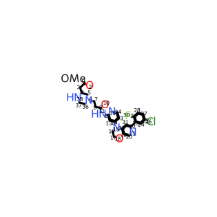 COC(=O)CC1CN(CCC(=O)Nc2cc(N3CCOc4cnc(-c5cc(Cl)ccc5F)cc43)ccn2)CCN1